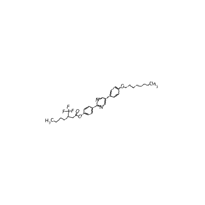 CCCCCCCCOc1ccc(-c2cnc(-c3ccc(OC(=O)CC(CCCC)C(F)(F)F)cc3)nc2)cc1